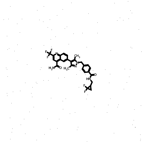 Cc1nn(Cc2ccc(C(=O)NCC3CC3(F)F)cc2)c(C)c1-c1ccc2nc(C(F)(F)F)cc(C(N)=O)c2c1